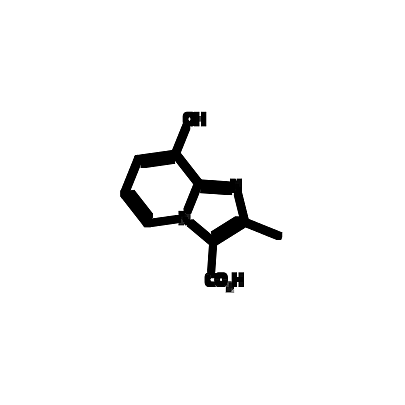 Cc1nc2c(O)cccn2c1C(=O)O